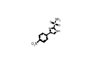 NS(=O)(=O)c1nc(-c2ccc([N+](=O)[O-])cc2)c[nH]1